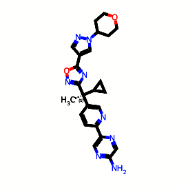 C[C@](c1ccc(-c2cnc(N)cn2)nc1)(c1noc(-c2cnn(C3CCOCC3)c2)n1)C1CC1